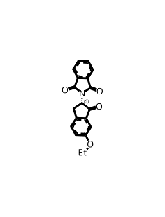 CCOc1ccc2c(c1)C(=O)[C@@H](N1C(=O)c3ccccc3C1=O)C2